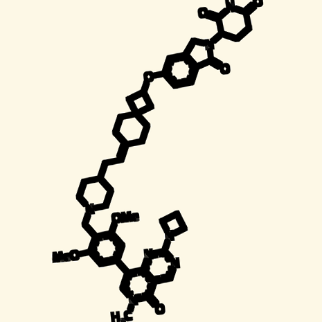 COc1cc(-c2cn(C)c(=O)c3cnc(N4CCC4)nc23)cc(OC)c1CN1CCC(CC=C2CCC3(CC2)CC(Oc2ccc4c(c2)CN(C2CCC(=O)NC2=O)C4=O)C3)CC1